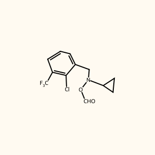 O=CON(Cc1cccc(C(F)(F)F)c1Cl)C1CC1